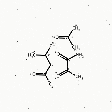 C=C(C)C(N)=O.CC(=O)CC(C)C.CC(C)=O